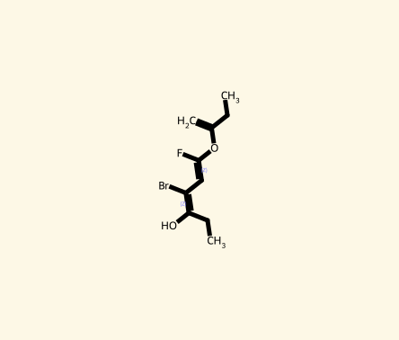 C=C(CC)O/C(F)=C/C(Br)=C(/O)CC